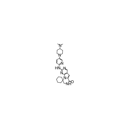 CN(C)C1CCN(c2ccc(Nc3ncc4cc5n(c4n3)C3(CCCCC3)CNC5=O)nc2)CC1